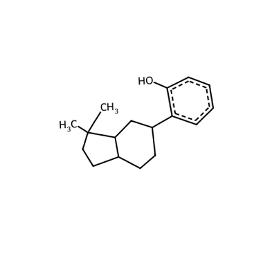 CC1(C)CCC2CCC(c3ccccc3O)CC21